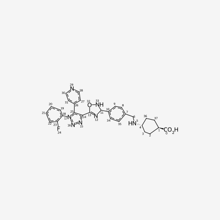 O=C(O)[C@H]1CC[C@H](NCc2ccc(C3N=C(c4nnn(-c5ccccc5F)c4-c4ccncc4)ON3)cc2)CC1